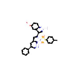 COc1ccc2[nH]cc(-c3cc4cc(-c5ccccc5)cnc4n3S(=O)(=O)c3ccc(C)cc3)c2c1